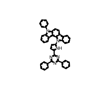 c1ccc(-c2nc(-c3ccccc3)nc(-c3ccc(-n4c5ccccc5c5ccc6c(c7ccccc7n6-c6ccccc6)c54)[nH]3)n2)cc1